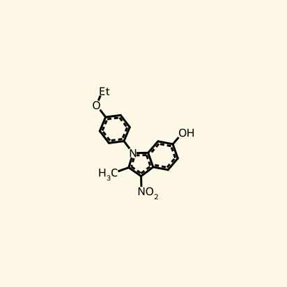 CCOc1ccc(-n2c(C)c([N+](=O)[O-])c3ccc(O)cc32)cc1